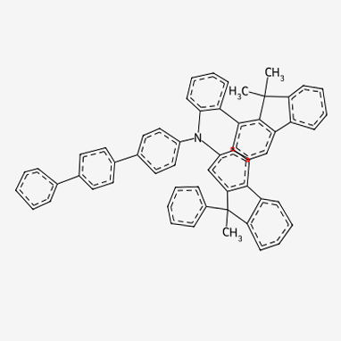 CC1(C)c2ccccc2-c2cccc(-c3ccccc3N(c3ccc(-c4ccc(-c5ccccc5)cc4)cc3)c3ccc4c(c3)C(C)(c3ccccc3)c3ccccc3-4)c21